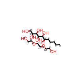 CCCCCC(=O)C(O)C(O)C(O)C(O)CO.OCCOCCOCCO